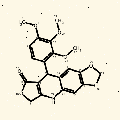 COc1ccc(C2C3=C(COC3=O)Nc3cc4c(cc32)OCO4)c(OC)c1OC